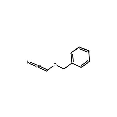 [N-]=[N+]=COCc1ccccc1